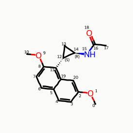 COc1ccc2ccc(OC)c([C@@H]3C[C@H]3NC(C)=O)c2c1